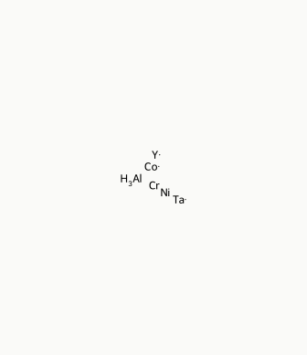 [AlH3].[Co].[Cr].[Ni].[Ta].[Y]